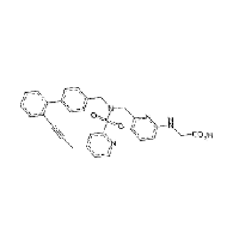 CC#Cc1ccccc1-c1ccc(CN(Cc2cccc(NCC(=O)O)n2)S(=O)(=O)c2ccccn2)cc1